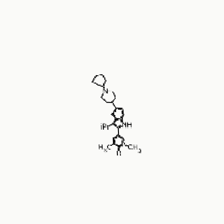 Cc1cc(-c2[nH]c3ccc(C4CCN(C5CCCCC5)CC4)cc3c2C(C)C)cn(C)c1=O